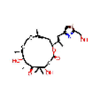 CC(=Cc1csc(CO)n1)[C@@H]1C/C=C(/C)CCC[C@H](C)[C@H](O)[C@@H](C)C(=O)C(C)(C)[C@@H](O)CC(=O)O1